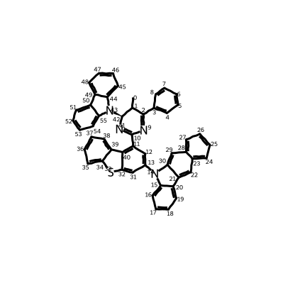 CC1C(c2ccccc2)=NC(c2cc(-n3c4ccccc4c4cc5ccccc5cc43)cc3sc4ccccc4c23)=N[C@H]1n1c2ccccc2c2ccccc21